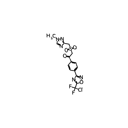 Cn1cnc(CS(=O)(=O)CC(=O)c2ccc(-c3noc(C(F)(F)Cl)n3)cc2)n1